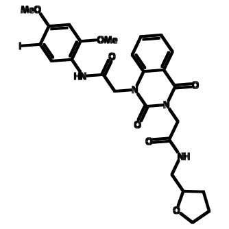 COc1cc(OC)c(NC(=O)Cn2c(=O)n(CC(=O)NCC3CCCO3)c(=O)c3ccccc32)cc1I